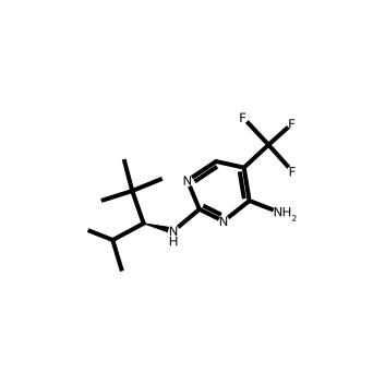 CC(C)[C@H](Nc1ncc(C(F)(F)F)c(N)n1)C(C)(C)C